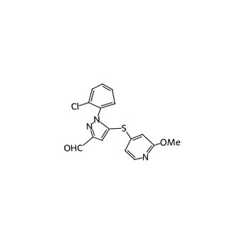 COc1cc(Sc2cc(C=O)nn2-c2ccccc2Cl)ccn1